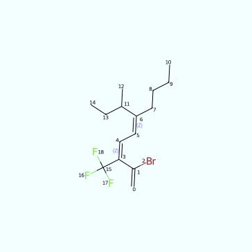 C=C(Br)/C(=C\C=C(\CCCC)C(C)CC)C(F)(F)F